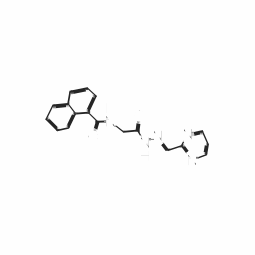 O=C(CNC(=O)c1cccc2ccccc12)NN=Cc1ncccn1